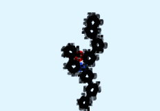 c1ccc(-c2cccc(-c3ccc(N(c4ccc(-c5cccc(-c6ccc7ccccc7c6)c5)cc4)c4cccc5c4oc4ccccc45)cc3)c2)cc1